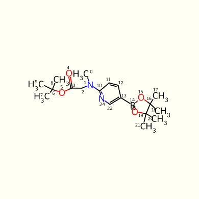 CN(CC(=O)OC(C)(C)C)c1ccc(B2OC(C)(C)C(C)(C)O2)cn1